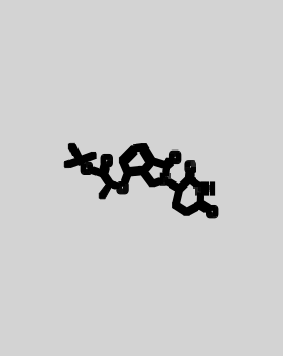 C[C@H](Oc1cccc2c1CN(C1CCC(=O)NC1=O)C2=O)C(=O)OC(C)(C)C